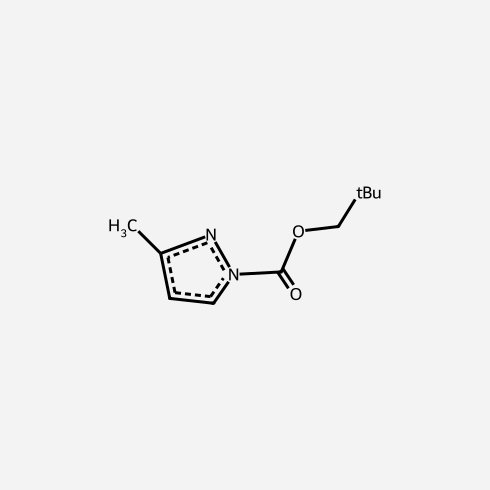 Cc1ccn(C(=O)OCC(C)(C)C)n1